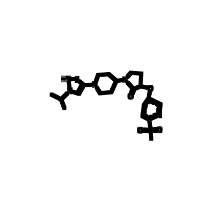 CC(C)N1C=C(N2CCC(N3CCC(Oc4ccc(S(C)(=O)=O)nc4)C3=O)CC2)SN1